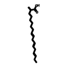 CCC=CCC=CCC=CCCCCCCC(C)C(=O)O